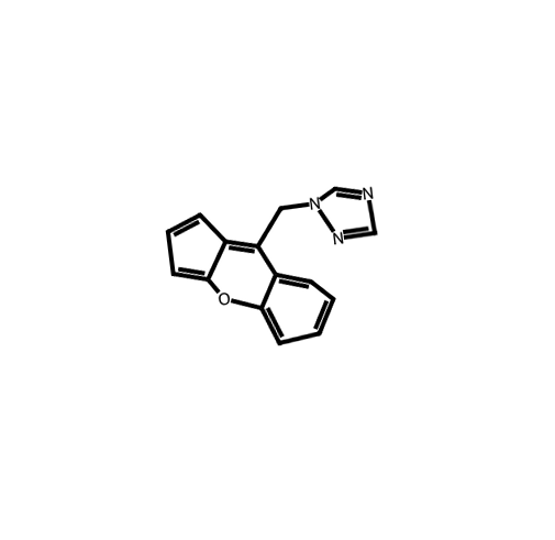 c1cc2oc3ccccc3c(Cn3cncn3)c-2c1